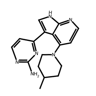 CC1CCN(c2ccnc3[nH]cc(-c4ccnc(N)n4)c23)CC1